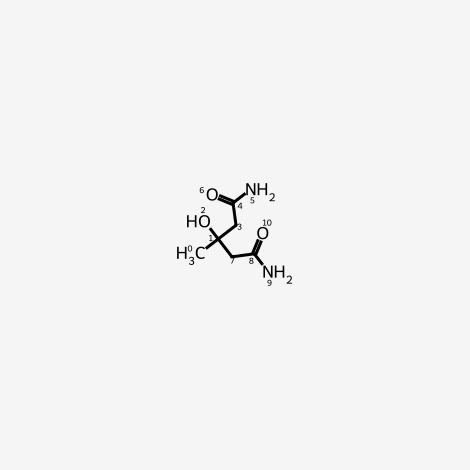 CC(O)(CC(N)=O)CC(N)=O